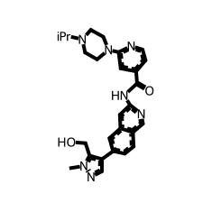 CC(C)N1CCN(c2cc(C(=O)Nc3cc4cc(-c5cnn(C)c5CO)ccc4cn3)ccn2)CC1